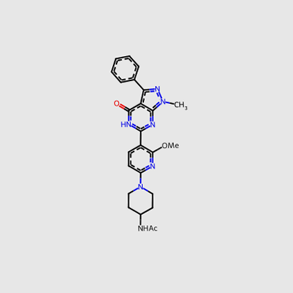 COc1nc(N2CCC(NC(C)=O)CC2)ccc1-c1nc2c(c(-c3ccccc3)nn2C)c(=O)[nH]1